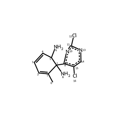 CC1=CC=CC(N)C1(N)c1nc(Cl)ncc1Cl